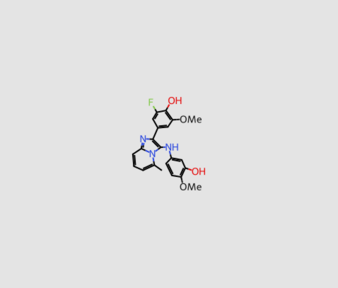 COc1ccc(Nc2c(-c3cc(F)c(O)c(OC)c3)nc3cccc(C)n23)cc1O